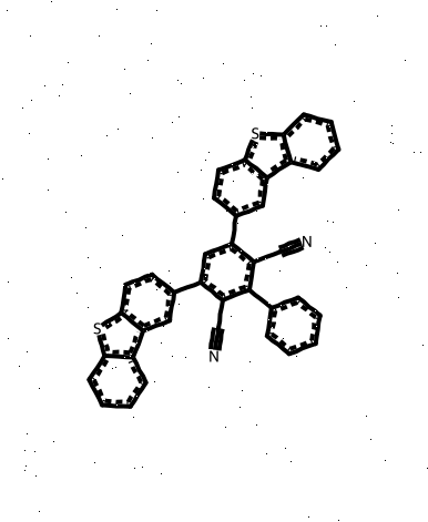 N#Cc1c(-c2ccc3sc4ccccc4c3c2)cc(-c2ccc3sc4ccccc4c3c2)c(C#N)c1-c1ccccc1